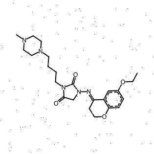 CCOc1ccc2c(c1)/C(=N/N1CC(=O)N(CCCCN3CCN(C)CC3)C1=O)CCO2